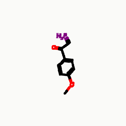 COc1ccc(C(=O)C=[PH3])cc1